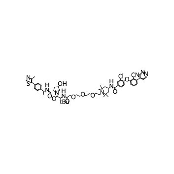 Cc1ncsc1-c1ccc(C(C)NC(=O)[C@@H]2C[C@@H](O)CN2C(=O)C(NC(=O)COCCOCCOCCN2C(C)(C)CC(NC(=O)c3ccc(Oc4cccc(-c5ccnnc5)c4C#N)c(Cl)c3)CC2(C)C)C(C)(C)C)cc1